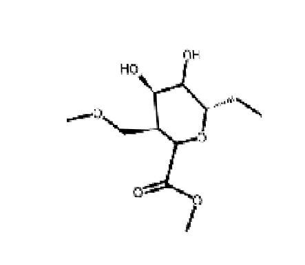 CC[C@@H]1OC(C(=O)OC)[C@@H](COC)[C@@H](O)C1O